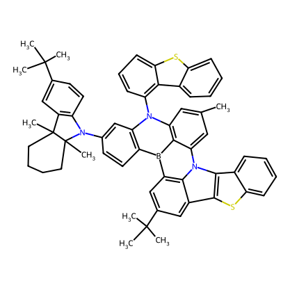 Cc1cc2c3c(c1)-n1c4c(cc(C(C)(C)C)cc4c4sc5ccccc5c41)B3c1ccc(N3c4ccc(C(C)(C)C)cc4C4(C)CCCCC34C)cc1N2c1cccc2sc3ccccc3c12